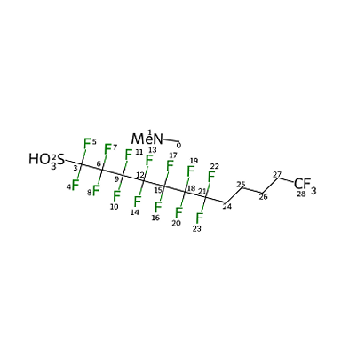 CNC.O=S(=O)(O)C(F)(F)C(F)(F)C(F)(F)C(F)(F)C(F)(F)C(F)(F)C(F)(F)CCCCC(F)(F)F